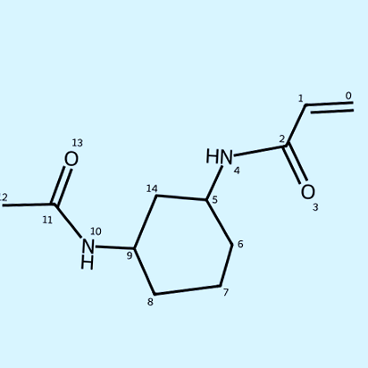 C=CC(=O)NC1CCCC(NC(C)=O)C1